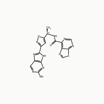 C[C@@H](NC(=O)c1ncnc2scnc12)c1cc(-c2nc3cnc(C(C)(C)C)nc3[nH]2)no1